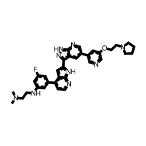 CN(C)CCNc1cc(F)cc(-c2ccnc3[nH]c(-c4n[nH]c5ncc(-c6cncc(OCCN7CCCC7)c6)cc45)cc23)c1